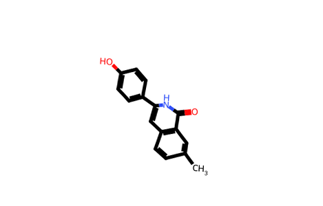 Cc1ccc2cc(-c3ccc(O)cc3)[nH]c(=O)c2c1